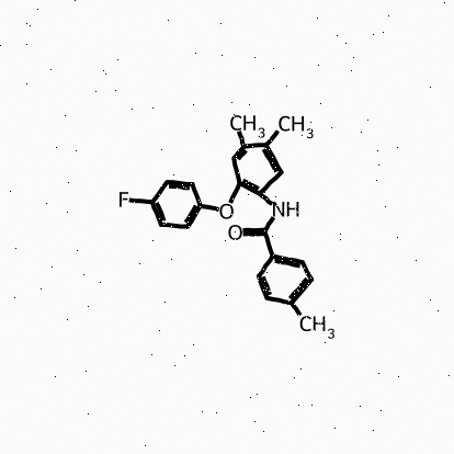 Cc1ccc(C(=O)Nc2cc(C)c(C)cc2Oc2ccc(F)cc2)cc1